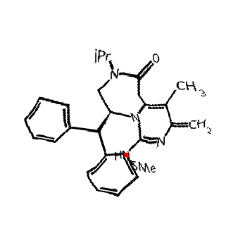 C=C1N=C(NSC)N2C(=C1C)C(=O)N(C(C)C)C[C@@H]2C(c1ccccc1)c1ccccc1